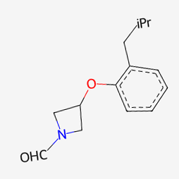 CC(C)Cc1ccccc1OC1CN(C=O)C1